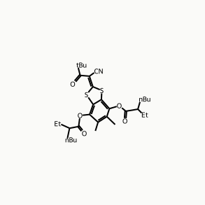 CCCCC(CC)C(=O)Oc1c(C)c(C)c(OC(=O)C(CC)CCCC)c2c1SC(=C(C#N)C(=O)C(C)(C)C)S2